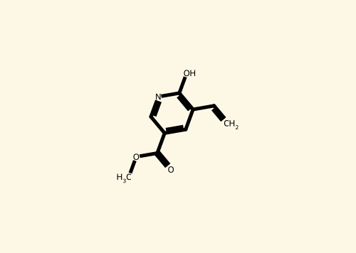 C=Cc1cc(C(=O)OC)cnc1O